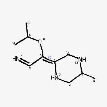 CC1CN/C(=C(\C=N)OC(C)C)CN1